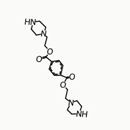 O=C(OCCN1CCNCC1)c1ccc(C(=O)OCCN2CCNCC2)cc1